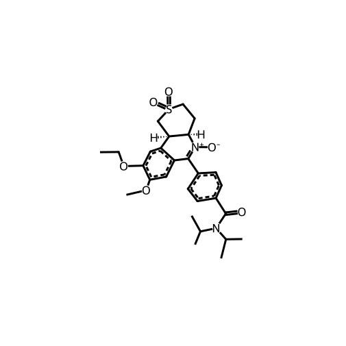 CCOc1cc2c(cc1OC)C(c1ccc(C(=O)N(C(C)C)C(C)C)cc1)=[N+]([O-])[C@@H]1CCS(=O)(=O)C[C@H]21